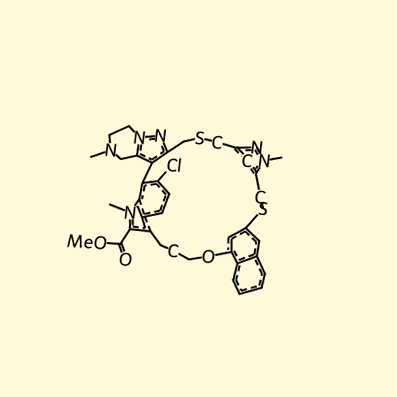 COC(=O)c1c2c3ccc(Cl)c(c3n1C)-c1c(nn3c1CN(C)CC3)CSCc1cc(n(C)n1)CSc1cc(c3ccccc3c1)OCCC2